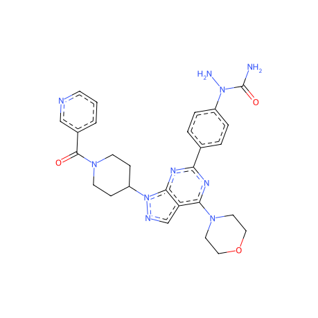 NC(=O)N(N)c1ccc(-c2nc(N3CCOCC3)c3cnn(C4CCN(C(=O)c5cccnc5)CC4)c3n2)cc1